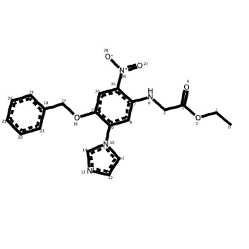 CCOC(=O)CNc1cc(-n2ccnc2)c(OCc2ccccc2)cc1[N+](=O)[O-]